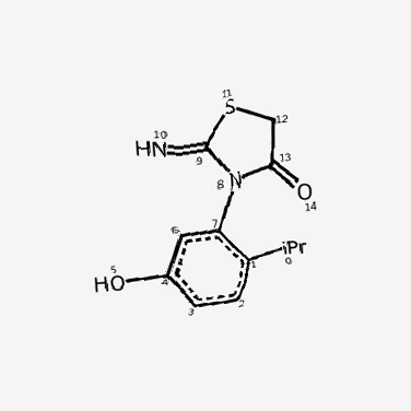 CC(C)c1ccc(O)cc1N1C(=N)SCC1=O